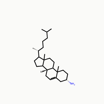 CC(C)CCC[C@@H](C)C1CCC2[C@H]3CC=C4C[C@@H](N)CCC4(C)C3CCC21C